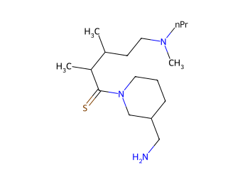 CCCN(C)CCC(C)C(C)C(=S)N1CCCC(CN)C1